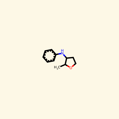 CC1OCCC1Nc1ccccc1